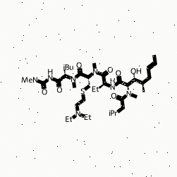 C/C=C/C[C@@H](C)[C@@H](O)[C@@H](C(=O)N[C@@H](CC)C(=O)N(C)[C@H](CSCCN(CC)CC)C(=O)N(C)[C@H](C(=O)NC(=O)NC)C(C)CC)N(C)C(=O)CC(C)C